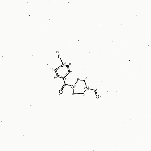 O=CN1CCN(C(=O)c2ccc(F)cc2)CC1